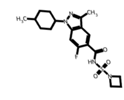 Cc1nn(C2CCC(C)CC2)c2cc(F)c(C(=O)NS(=O)(=O)N3CCC3)cc12